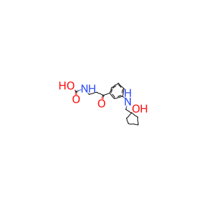 O=C(O)NCCC(=O)c1cccc(NCC2(O)CCCC2)c1